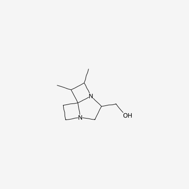 CC1C(C)C23CCN2CC(CO)N13